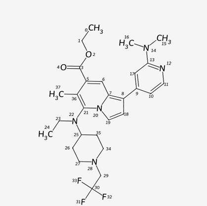 CCOC(=O)c1cc2c(-c3ccnc(N(C)C)c3)ccn2c(N(CC)C2CCN(CC(F)(F)F)CC2)c1C